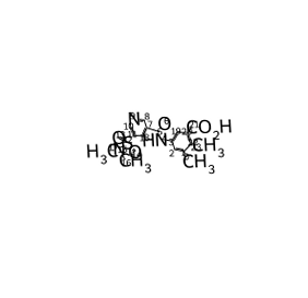 Cc1cc(NC(=O)c2cncc(S(=O)(=O)N(C)C)c2)cc(C(=O)O)c1C